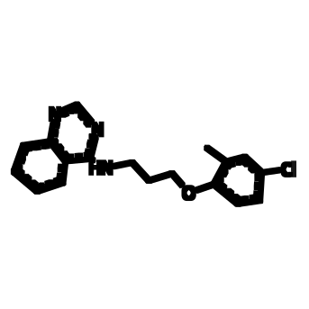 Cc1cc(Cl)ccc1OCCCNc1ncnc2ccccc12